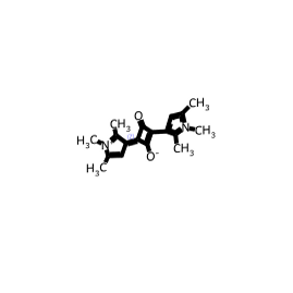 CC1=C/C(=C2/C(=O)C(c3cc(C)n(C)c3C)=C2[O-])C(C)=[N+]1C